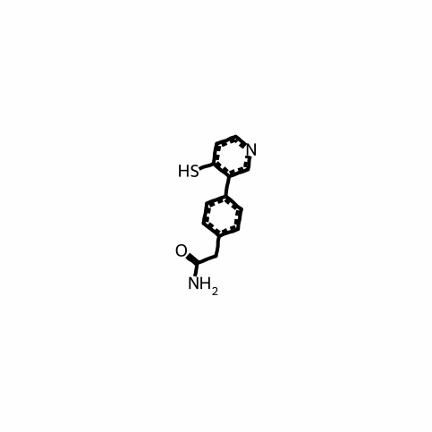 NC(=O)Cc1ccc(-c2cnccc2S)cc1